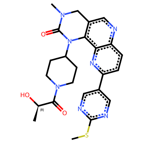 CSc1ncc(-c2ccc3ncc4c(c3n2)N(C2CCN(C(=O)[C@@H](C)O)CC2)C(=O)N(C)C4)cn1